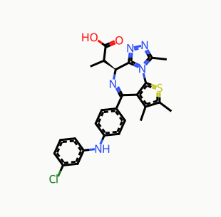 Cc1sc2c(c1C)C(c1ccc(Nc3cccc(Cl)c3)cc1)=N[C@@H](C(C)C(=O)O)c1nnc(C)n1-2